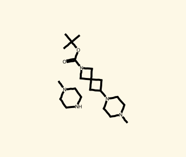 CN1CCN(C2CC3(C2)CN(C(=O)OC(C)(C)C)C3)CC1.CN1CCNCC1